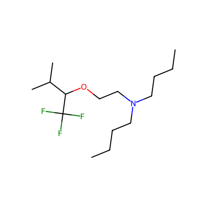 CCCCN(CCCC)CCOC(C(C)C)C(F)(F)F